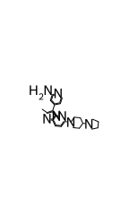 Cc1nc2ccc(N3CCC(N4CCCC4)CC3)nn2c1-c1ccnc(N)c1